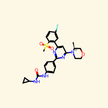 C[C@H]1COCCN1c1cc(-c2cc(F)ccc2S(C)(=O)=O)nc(-c2ccc(NC(=O)NC3CC3)cc2)n1